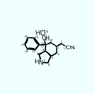 Cl.N#CCC1CC2CNCC2C(O)(c2ccccc2)C1